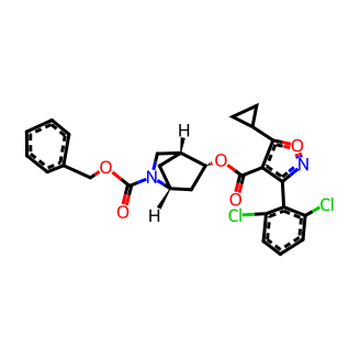 O=C(O[C@@H]1C[C@H]2C[C@@H]1CN2C(=O)OCc1ccccc1)c1c(-c2c(Cl)cccc2Cl)noc1C1CC1